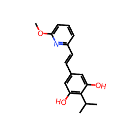 COc1cccc(C=Cc2cc(O)c(C(C)C)c(O)c2)n1